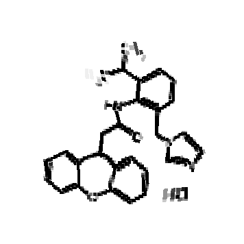 CC(C)c1cccc(Cn2ccnc2)c1NC(=O)CC1c2ccccc2Oc2ccccc21.Cl